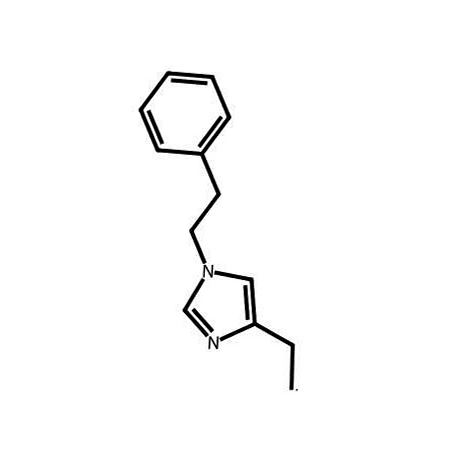 [CH2]Cc1cn(CCc2ccccc2)cn1